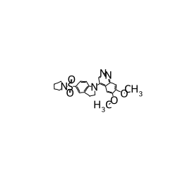 COc1cc2nncc(N3CCc4cc(S(=O)(=O)N5CCCC5)ccc43)c2cc1OC